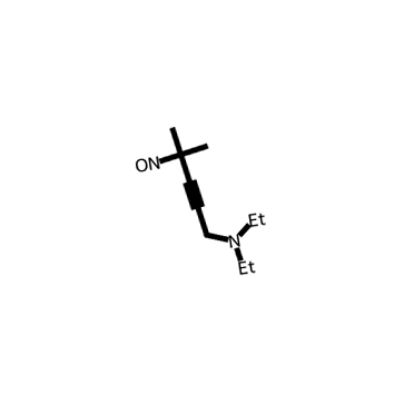 CCN(CC)CC#CC(C)(C)N=O